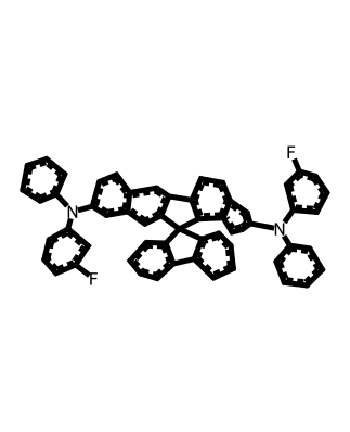 Fc1cccc(N(c2ccccc2)c2ccc3cc4c(cc3c2)C2(c3ccccc3-c3ccccc32)c2c-4ccc3cc(N(c4ccccc4)c4cccc(F)c4)ccc23)c1